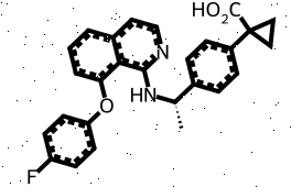 C[C@H](Nc1nccc2cccc(Oc3ccc(F)cc3)c12)c1ccc(C2(C(=O)O)CC2)cc1